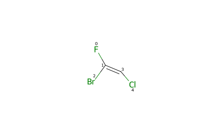 FC(Br)=CCl